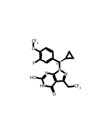 O=c1[nH]c(O)nc2c1c(CC(F)(F)F)nn2[C@@H](c1ccc(OC(F)(F)F)c(F)c1)C1CC1